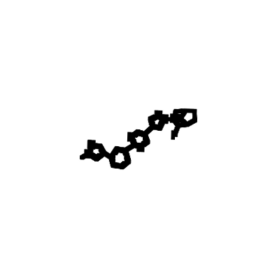 Cn1cc(-c2cccc(-c3ncc(-c4cnn(C5CC6CCC(N6)C5F)c4)cn3)c2)cn1